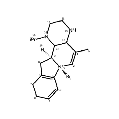 CC1=C[N@+]2(Br)C3=C(CCC=C3)C[C@H]2C2C1NCCN2C(C)C